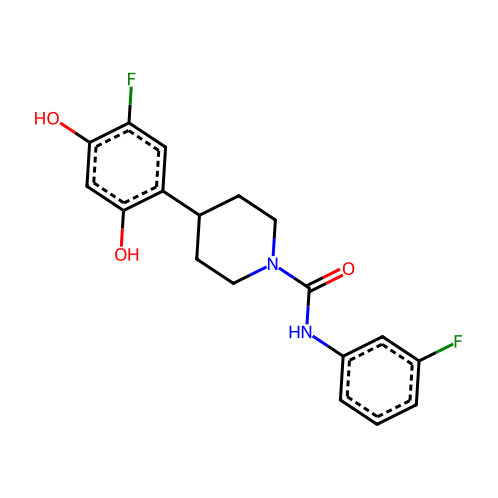 O=C(Nc1cccc(F)c1)N1CCC(c2cc(F)c(O)cc2O)CC1